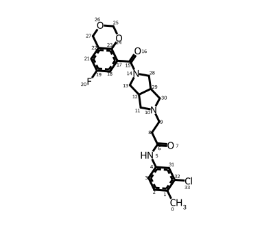 Cc1ccc(NC(=O)CCN2CC3CN(C(=O)c4cc(F)cc5c4OCOC5)CC3C2)cc1Cl